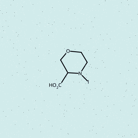 O=C(O)C1COCCN1I